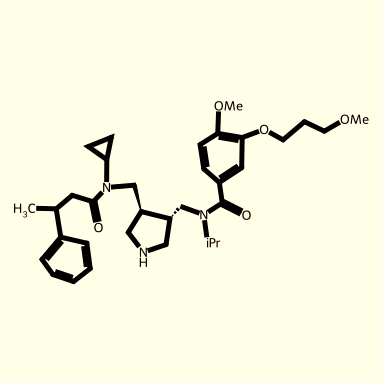 COCCCOc1cc(C(=O)N(C[C@@H]2CNC[C@H]2CN(C(=O)CC(C)c2ccccc2)C2CC2)C(C)C)ccc1OC